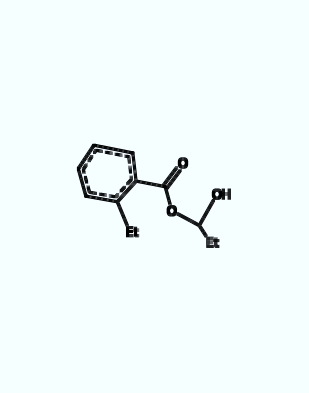 CCc1ccccc1C(=O)OC(O)CC